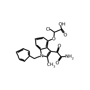 Cc1c(C(=O)C(N)=O)c2c(OC(Cl)C(=O)O)cccc2n1Cc1ccccc1